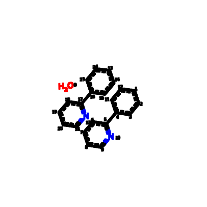 O.c1ccc(-c2ccccn2)cc1.c1ccc(-c2ccccn2)cc1